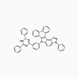 c1ccc(C2=NC(c3cccc(-n4c5ccc6c(cnn6-c6ccccc6)c5c5c6ccccc6c6ccccc6c54)c3)=NC(c3ccccc3)N2)cc1